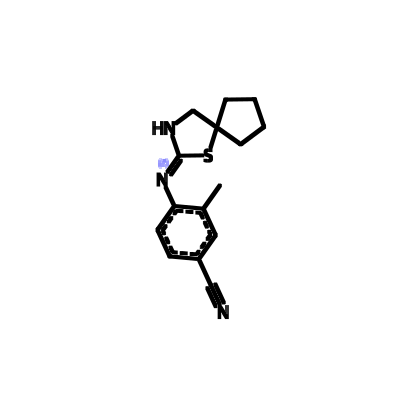 Cc1cc(C#N)ccc1/N=C1/NCC2(CCCC2)S1